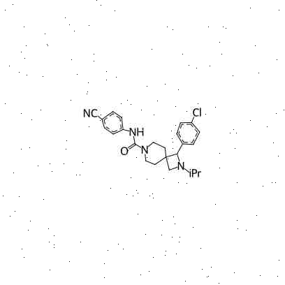 CC(C)N1CC2(CCN(C(=O)Nc3ccc(C#N)cc3)CC2)C1c1ccc(Cl)cc1